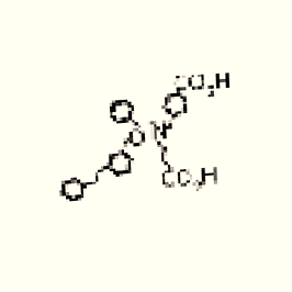 O=C(O)CCCCN(Cc1ccc(C(=O)O)cc1)C[C@H](OCc1cccc(CCc2ccccc2)c1)c1ccccc1